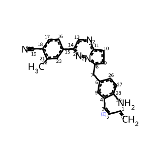 C=C/C=C\c1cc(Cc2ccc3ncc(-c4ccc(C#N)c(C)c4)nn23)ccc1N